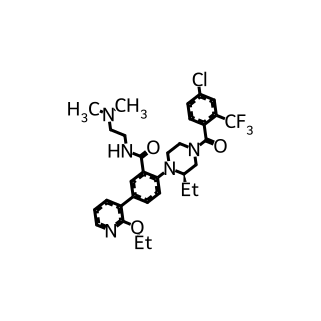 CCOc1ncccc1-c1ccc(N2CCN(C(=O)c3ccc(Cl)cc3C(F)(F)F)C[C@H]2CC)c(C(=O)NCCN(C)C)c1